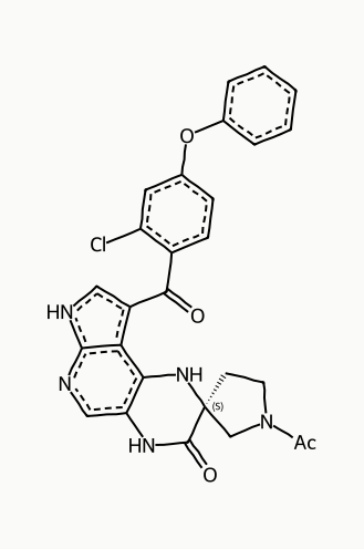 CC(=O)N1CC[C@@]2(C1)Nc1c(cnc3[nH]cc(C(=O)c4ccc(Oc5ccccc5)cc4Cl)c13)NC2=O